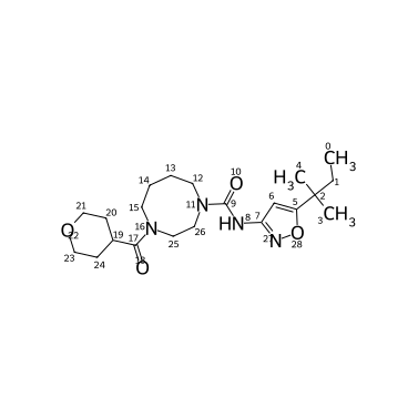 CCC(C)(C)c1cc(NC(=O)N2CCCCN(C(=O)C3CCOCC3)CC2)no1